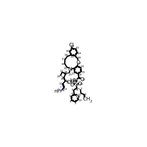 C=CCC[C@H](Cc1ccccn1)S(=O)(=O)NC(=O)c1ccc2c(c1)N(C[C@@H]1CC[C@H]1[C@@H](O)/C=C/CCC)CCCCc1cc(Cl)ccc1CO2